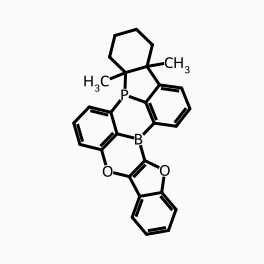 CC12CCCCC1(C)P1c3cccc4c3B(c3cccc2c31)c1oc2ccccc2c1O4